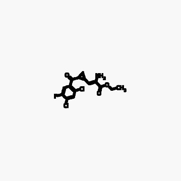 CCOC(=O)C(N)=CC1CC1C(=O)c1cc(F)c(Cl)cc1Cl